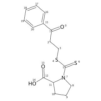 O=C(CCSC(=S)N1CCCC1C(=O)O)c1ccccc1